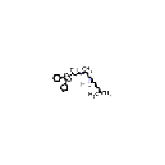 C=C(CC/C=C(\C)CC/C=C(\C)CCC=C(C)C)C1OC(C2CCCCC2)C(C2CCCCC2)O1